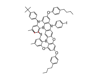 CCCCc1ccc(Oc2cc3c4c(c2)Oc2cc(C)cc(CCCC)c2B4c2cc4c(cc2O3)N(c2ccc(I)cc2)c2cc(Oc3ccc(CCCC)cc3)cc3c2B4c2c(I)cc(C)cc2N3c2ccc(C(C)(C)C)cc2)cc1